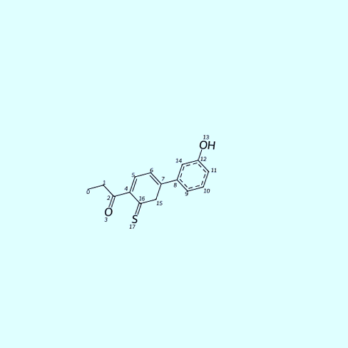 CCC(=O)C1=CC=C(c2cccc(O)c2)CC1=S